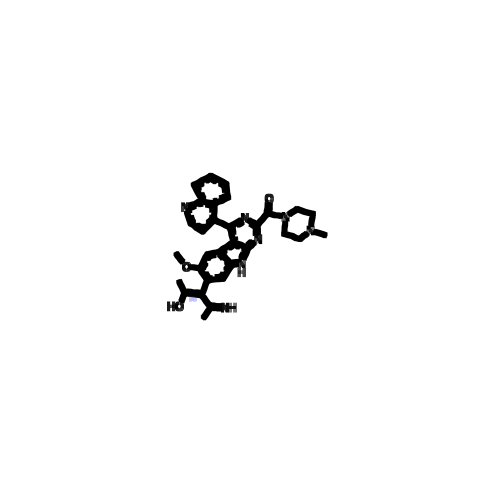 COc1cc2c(cc1/C(C(C)=N)=C(\C)O)[nH]c1nc(C(=O)N3CCN(C)CC3)nc(-c3ccnc4ccccc34)c12